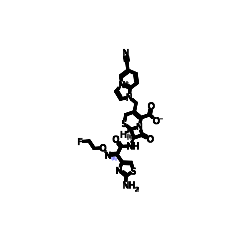 N#Cc1ccc2n(CC3=C(C(=O)[O-])N4C(=O)[C@@H](NC(=O)/C(=N\OCCF)c5csc(N)n5)[C@H]4SC3)cc[n+]2c1